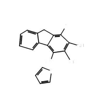 CC(=O)c1c(N)c(C)c(C)c2c1Cc1ccccc1-2.c1ccsc1